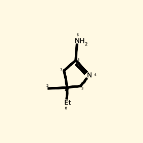 CCC1(C)CN=C(N)C1